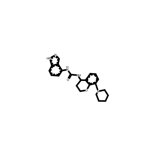 O=C(Nc1cccc2[nH]ncc12)NC1CCOc2c1cccc2N1CCCCC1